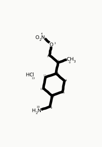 CC(CO[N+](=O)[O-])C1CCC(CN)CC1.Cl